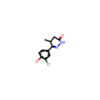 CC1CC(=O)NN=C1c1ccc([O])c(Cl)c1